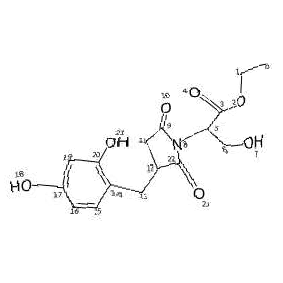 CCOC(=O)C(CO)N1C(=O)CC(Cc2ccc(O)cc2O)C1=O